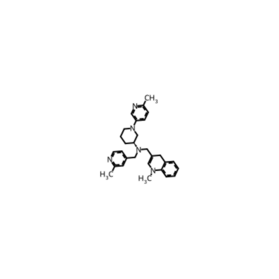 Cc1ccc(N2CCC[C@H](N(CC3=CN(C)c4ccccc4C3)Cc3ccnc(C)c3)C2)cn1